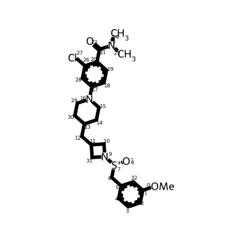 COc1cccc(C[S+]([O-])N2CC(CC3CCN(c4ccc(C(=O)N(C)C)c(Cl)c4)CC3)C2)c1